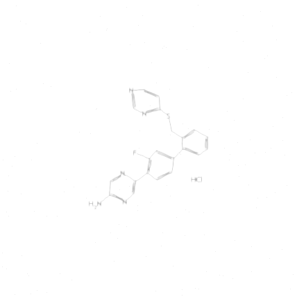 Cl.Nc1cnc(-c2ccc(-c3ccccc3CSc3ccncn3)cc2F)cn1